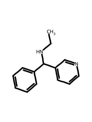 C[CH]NC(c1ccccc1)c1cccnc1